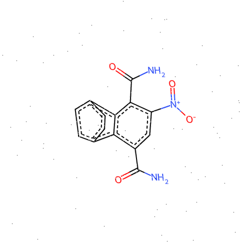 NC(=O)c1cc([N+](=O)[O-])c(C(N)=O)c2c3ccc(cc3)c12